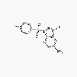 Bc1cnc2c(c1)c(I)cn2S(=O)(=O)c1ccc(C)cc1